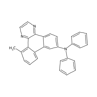 Cc1cccc2c3cc(N(c4ccccc4)c4ccccc4)ccc3c3nccnc3c12